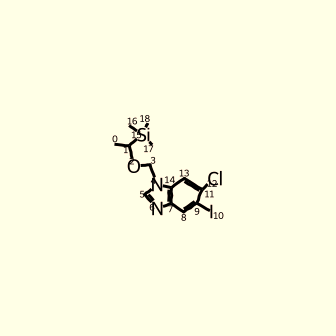 CC(OCn1cnc2cc(I)c(Cl)cc21)[Si](C)(C)C